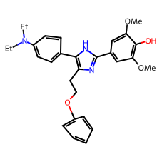 CCN(CC)c1ccc(-c2[nH]c(-c3cc(OC)c(O)c(OC)c3)nc2CCOc2ccccc2)cc1